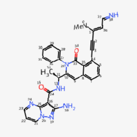 CN/C(C#Cc1cccc2cc([C@H](C)NC(=O)c3c(N)nn4cccnc34)n(-c3ccccc3)c(=O)c12)=C\C=N